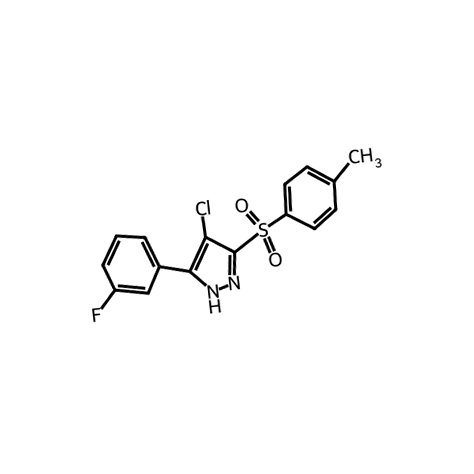 Cc1ccc(S(=O)(=O)c2n[nH]c(-c3cccc(F)c3)c2Cl)cc1